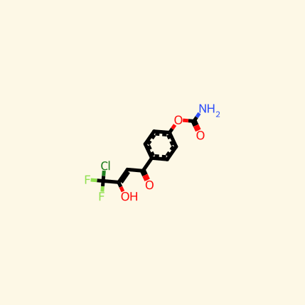 NC(=O)Oc1ccc(C(=O)C=C(O)C(F)(F)Cl)cc1